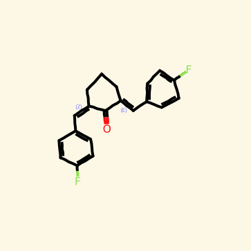 O=C1/C(=C\c2ccc(F)cc2)CCC/C1=C\c1ccc(F)cc1